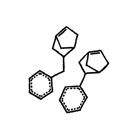 C1=C2CC(C1)C(Cc1ccccc1)C2.C1=C2CC(C1)C(c1ccccc1)C2